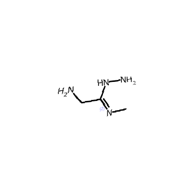 C/N=C(/CN)NN